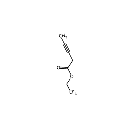 CC#CCC(=O)OCC(F)(F)F